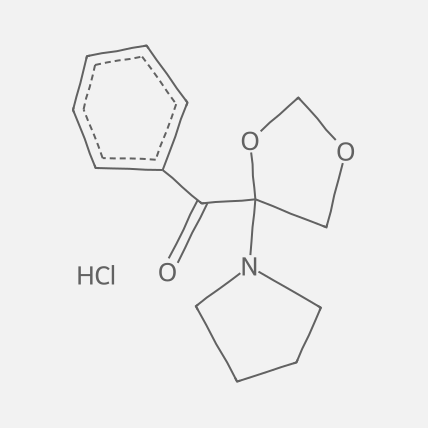 Cl.O=C(c1ccccc1)C1(N2CCCC2)COCO1